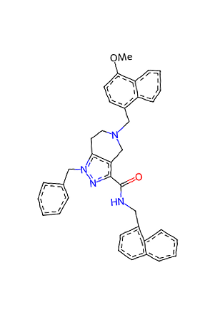 COc1ccc(CN2CCc3c(c(C(=O)NCc4cccc5ccccc45)nn3Cc3ccccc3)C2)c2ccccc12